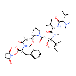 CC[C@H](C)[C@@H]([C@@H](CC(=O)N1CCC[C@H]1[C@H](OC)[C@@H](C)C(=O)N[C@@H](Cc1ccccc1)C(=O)ON1C(=O)CCC1=O)OC)N(C)C(=O)[C@@H](NC(=O)[C@H](C(C)C)N(C)C)C(C)C